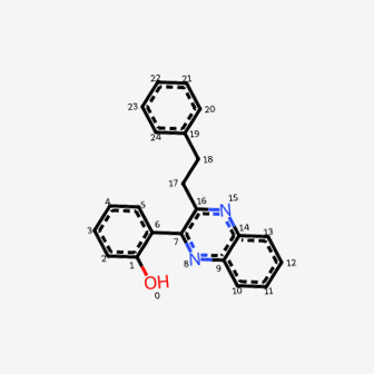 Oc1ccccc1-c1nc2ccccc2nc1CCc1ccccc1